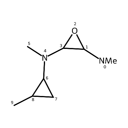 CNC1OC1N(C)C1CC1C